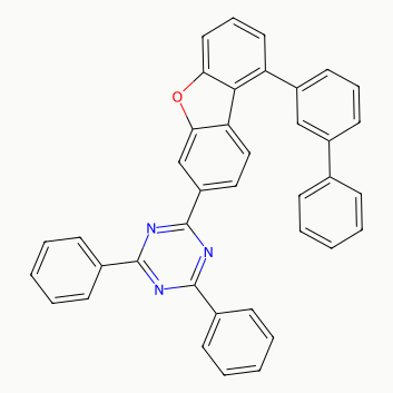 c1ccc(-c2cccc(-c3cccc4oc5cc(-c6nc(-c7ccccc7)nc(-c7ccccc7)n6)ccc5c34)c2)cc1